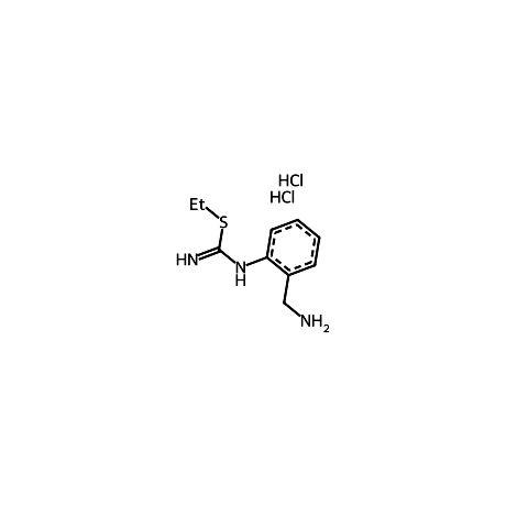 CCSC(=N)Nc1ccccc1CN.Cl.Cl